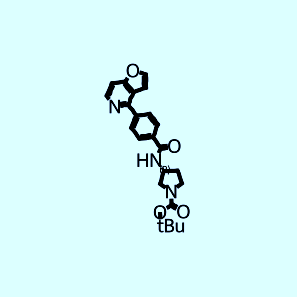 CC(C)(C)OC(=O)N1CC[C@@H](NC(=O)c2ccc(-c3nccc4occc34)cc2)C1